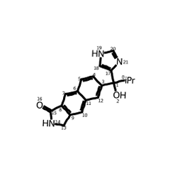 CC(C)C(O)(c1ccc2cc3c(cc2c1)CNC3=O)c1c[nH]cn1